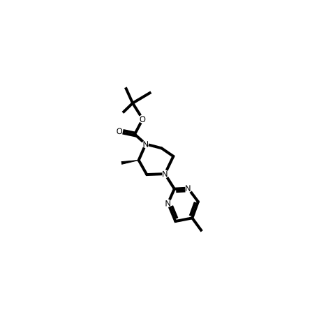 Cc1cnc(N2CCN(C(=O)OC(C)(C)C)[C@H](C)C2)nc1